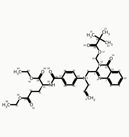 C=CCN(Cc1nc2ccccc2c(=O)n1COC(=O)C(C)(C)C)c1ccc(C(=O)N[C@@H](CCC(=O)OCC)C(=O)OCC)cc1